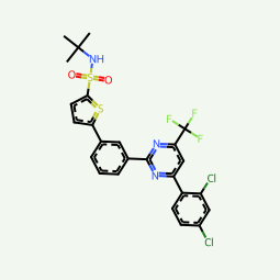 CC(C)(C)NS(=O)(=O)c1ccc(-c2cccc(-c3nc(-c4ccc(Cl)cc4Cl)cc(C(F)(F)F)n3)c2)s1